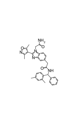 Cc1ccc(C(NC(=O)Cc2ccc3c(c2)nc(-c2c(C)noc2C)n3CC(N)=O)c2ccccc2)c(C)c1